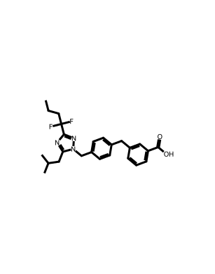 CCCC(F)(F)c1nc(CC(C)C)n(Cc2ccc(Cc3cccc(C(=O)O)c3)cc2)n1